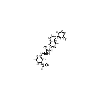 Cc1cc(-n2ncc3cc(NC(=O)NCc4cccc([S@@+](C)[O-])c4)ncc32)ccn1